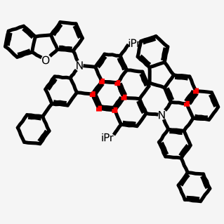 CC(C)c1cc(N(c2ccc(-c3ccccc3)cc2-c2ccccc2)c2cccc3c2Cc2ccccc2-3)c2ccc3c(C(C)C)cc(N(c4cccc5c4oc4ccccc45)C4C=CC(C5=CCCC=C5)=CC4C4=CC=CCC4)c4ccc1c2c34